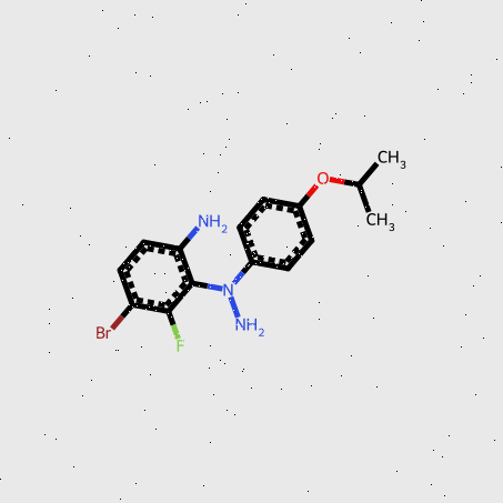 CC(C)Oc1ccc(N(N)c2c(N)ccc(Br)c2F)cc1